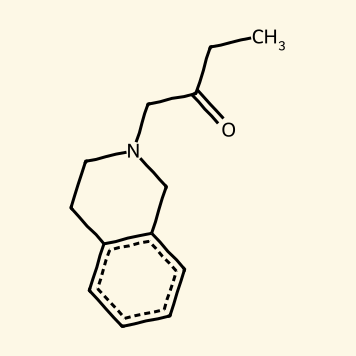 CCC(=O)CN1CCc2ccccc2C1